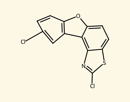 Clc1ccc2oc3ccc4sc(Cl)nc4c3c2c1